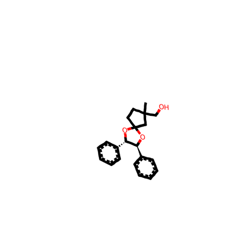 CC1(CO)CCC2(C1)O[C@@H](c1ccccc1)[C@H](c1ccccc1)O2